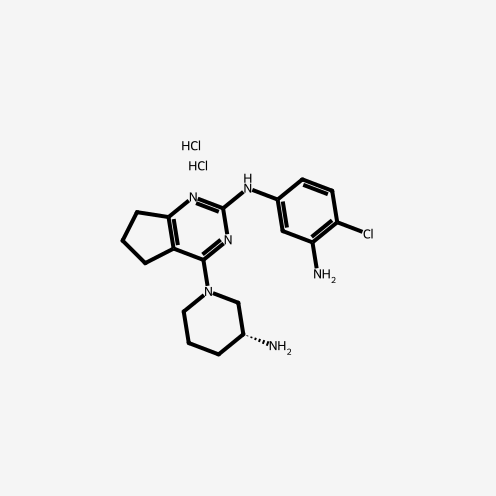 Cl.Cl.Nc1cc(Nc2nc3c(c(N4CCC[C@@H](N)C4)n2)CCC3)ccc1Cl